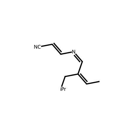 C\C=C(/C=N\C=C\C#N)CC(C)C